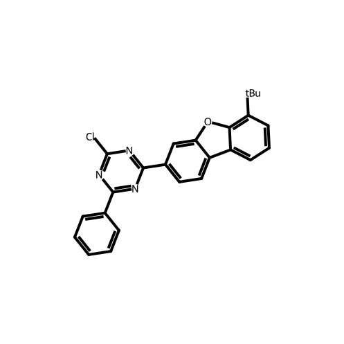 CC(C)(C)c1cccc2c1oc1cc(-c3nc(Cl)nc(-c4ccccc4)n3)ccc12